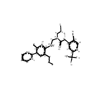 CCCc1cc(-c2ncccn2)c(C)nc1NCN(CCC)C(=O)[C@H](C)c1cc(C(F)(F)F)ncc1F